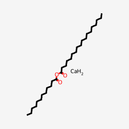 CCCCCCCCCCCCCCCCCC(=O)OC(=O)CCCCCCCCCCC.[CaH2]